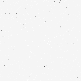 CCCCCCC(NC(=O)c1cc(Br)cc(Br)c1OC(C)=O)C(=O)O